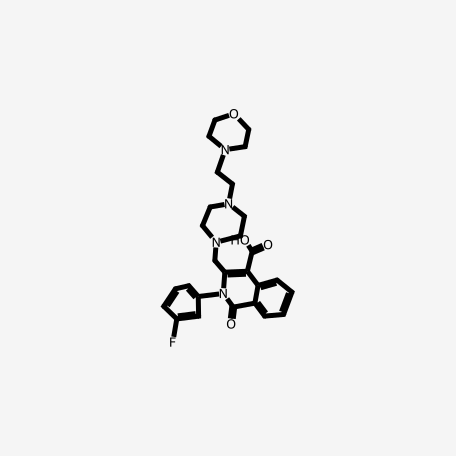 O=C(O)c1c(CN2CCN(CCN3CCOCC3)CC2)n(-c2cccc(F)c2)c(=O)c2ccccc12